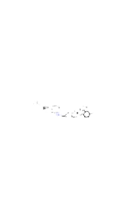 Cc1cc(C)c(N2C=C3SC(/N=C4\CCCN(C(=O)OCC(Cl)(Cl)Cl)C4)=CC3N2)c(O)c1